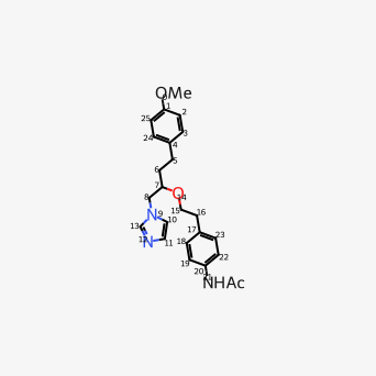 COc1ccc(CCC(Cn2ccnc2)OCCc2ccc(NC(C)=O)cc2)cc1